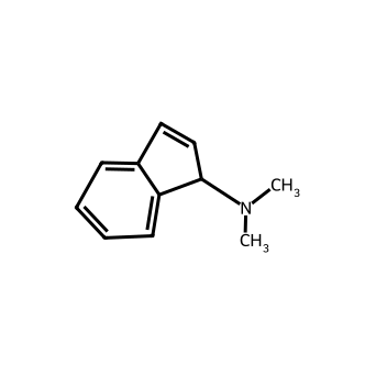 CN(C)C1C=Cc2ccccc21